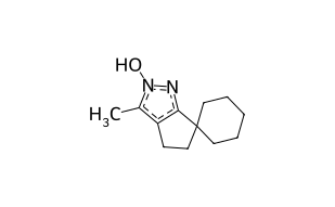 Cc1c2c(nn1O)C1(CCCCC1)CC2